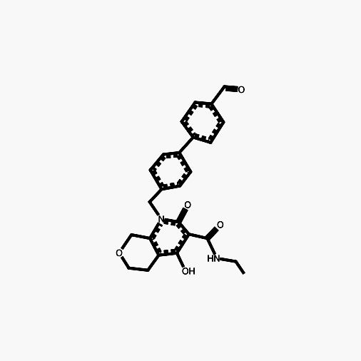 CCNC(=O)c1c(O)c2c(n(Cc3ccc(-c4ccc(C=O)cc4)cc3)c1=O)COCC2